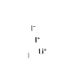 [I+].[I-].[I-].[Li+]